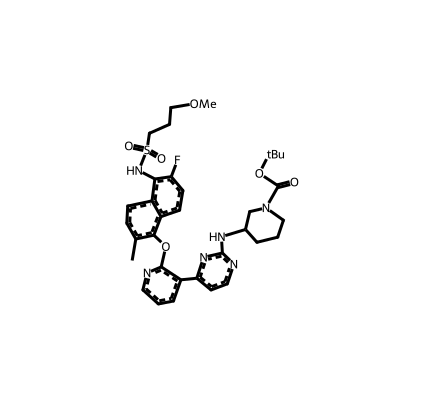 COCCCS(=O)(=O)Nc1c(F)ccc2c(Oc3ncccc3-c3ccnc(NC4CCCN(C(=O)OC(C)(C)C)C4)n3)c(C)ccc12